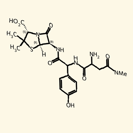 CNC(=O)CC(N)C(=O)NC(C(=O)N[C@@H]1C(=O)N2[C@@H]1SC(C)(C)[C@@H]2C(=O)O)c1ccc(O)cc1